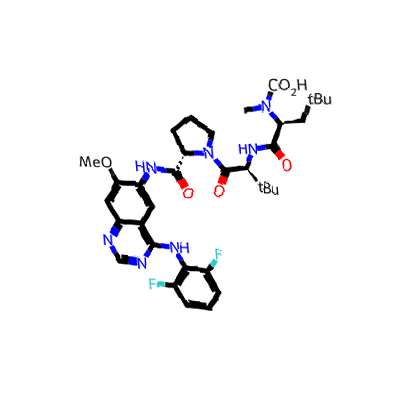 COc1cc2ncnc(Nc3c(F)cccc3F)c2cc1NC(=O)[C@@H]1CCCN1C(=O)[C@@H](NC(=O)[C@H](CC(C)(C)C)N(C)C(=O)O)C(C)(C)C